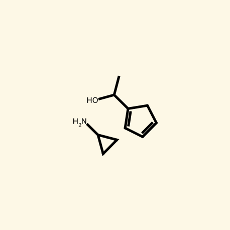 CC(O)C1=CC=CC1.NC1CC1